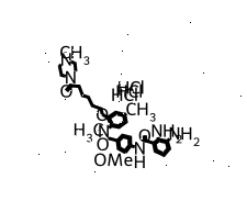 COc1cc(C(=O)N(C)c2ccc(C)cc2OCCCCCC(=O)N2CCN(C)CC2)ccc1NC(=O)c1cccc(N)c1N.Cl.Cl.Cl